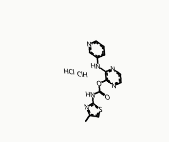 Cc1csc(NC(=O)Oc2nccnc2Nc2cccnc2)n1.Cl.Cl